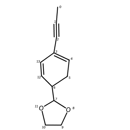 CC#CC1=CCC(C2OCCO2)C=C1